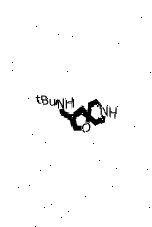 CC(C)(C)NCC1COC2(CCNCC2)C1